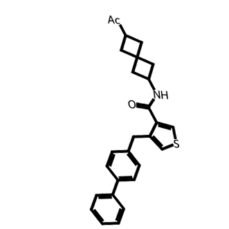 CC(=O)C1CC2(CC(NC(=O)c3cscc3Cc3ccc(-c4ccccc4)cc3)C2)C1